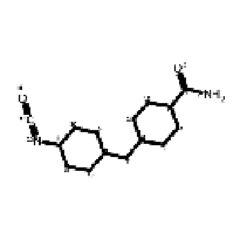 NC(=O)C1CCC(CC2CCC(N=C=O)CC2)CC1